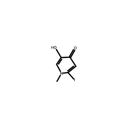 Cn1cc(O)c(=O)cc1I